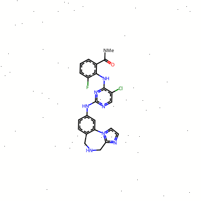 CNC(=O)c1cccc(F)c1Nc1nc(Nc2ccc3c(c2)-n2ccnc2CNC3)ncc1Cl